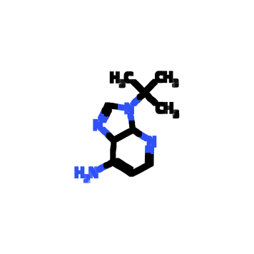 CC(C)(C)N1C=NC2C(N)=CC=NC21